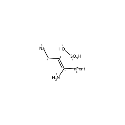 CCCCCC(N)=C[CH2][Na].O=S(=O)(O)O